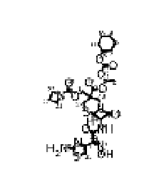 CC(OC(=O)OC1CCCCC1)OC(=O)C1(COC(=O)N2CCC2)CS[C@@H]2C(NC(=O)C(=NO)c3csc(N)n3)C(=O)N2C1